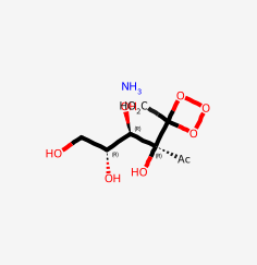 CC(=O)[C@](O)([C@H](O)[C@H](O)CO)C1(C(=O)O)OOO1.N